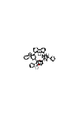 c1ccc(-c2nc(-c3ccccc3)nc(-c3cccc4c3oc3c(-c5cc(-c6cccc7oc8ccccc8c67)cc6c5oc5ccccc56)cccc34)n2)cc1